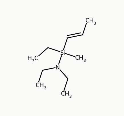 CC=C[Si](C)(CC)N(CC)CC